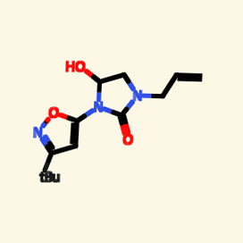 C=CCN1CC(O)N(c2cc(C(C)(C)C)no2)C1=O